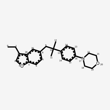 CCc1coc2ccc(CC(C)(C)c3ccc(N4CCOCC4)cc3)cc12